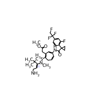 COC(=O)CC1=C(SN(C)/C(=C/CN)C(C)(C)C)CC=CC(NC(=O)C2(c3ccc(C(F)(F)CF)cc3F)CC2)=C1